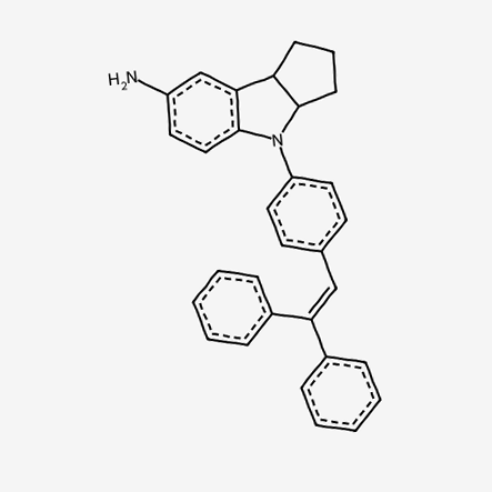 Nc1ccc2c(c1)C1CCCC1N2c1ccc(C=C(c2ccccc2)c2ccccc2)cc1